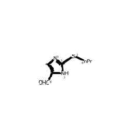 CCCSc1ncc(C=O)[nH]1